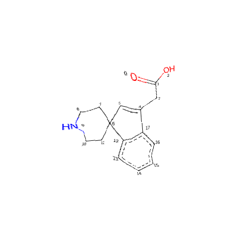 O=C(O)CC1=CC2(CCNCC2)c2ccccc21